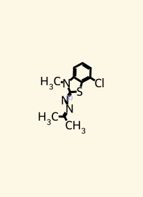 CC(C)=N/N=c1\sc2c(Cl)cccc2n1C